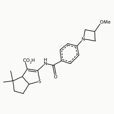 COC1CN(c2ccc(C(=O)NC3=C(C(=O)O)C4C(CCC4(C)C)S3)cc2)C1